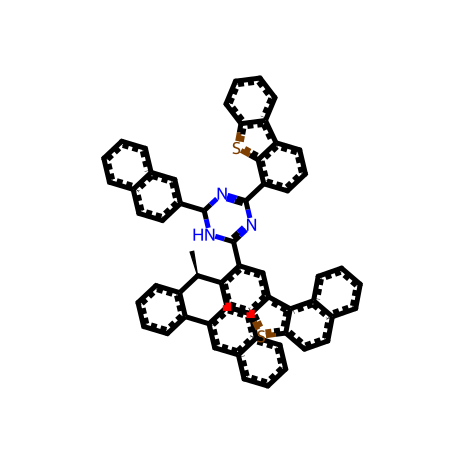 Cc1cc2ccccc2cc1-c1ccccc1[C@@H](C)c1cc2sc3ccc4ccccc4c3c2cc1C1=NC(c2cccc3c2sc2ccccc23)=NC(c2ccc3ccccc3c2)N1